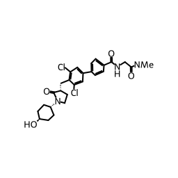 CNC(=O)CNC(=O)c1ccc(-c2cc(Cl)c(C[C@@H]3CCN([C@H]4CC[C@H](O)CC4)C3=O)c(Cl)c2)cc1